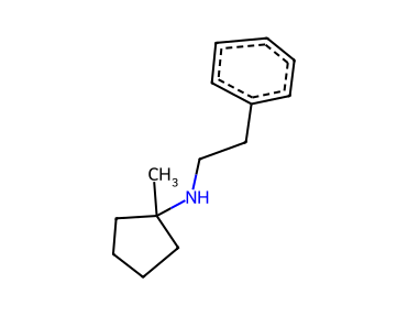 CC1(NCCc2ccccc2)CCCC1